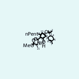 C=C(C)[C@H]1CCC(C)=C[C@@H]1c1c(O)cc(CCCCC)c(C(=O)N[C@@H](C)C(=O)OC)c1O